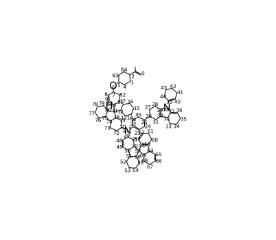 C=CC1CCC(OC2C=CC(C3(C4CCCCC4)C4CC(N(C5=CCC(C6CCC7=C(C6)C6CCCC=C6N7C6=CCCCC6)CC5)C5C=CC6C7CCCCC7C7(C8=C(CCC=C8)C8C=CCCC87)C6C5)CCC4C4CCCC[C@@H]43)CC2)CC1